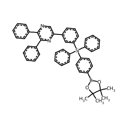 CC1(C)OB(c2ccc([Si](c3ccccc3)(c3ccccc3)c3cccc(-c4cnc(-c5ccccc5)c(-c5ccccc5)n4)c3)cc2)OC1(C)C